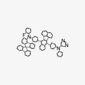 Fc1ccccc1N(c1ccc(-c2c3c(c(-c4ccc(N(c5ccccc5)c5cncnc5)cc4)c4ccccc24)-c2cccc4cccc-3c24)cc1)c1cccc2c1-c1ccccc1C21c2ccccc2-c2ccccc21